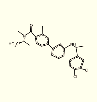 Cc1cc(-c2cccc(NC(C)c3ccc(Cl)c(Cl)c3)c2)ccc1C(=O)N(C)[C@@H](C)C(=O)O